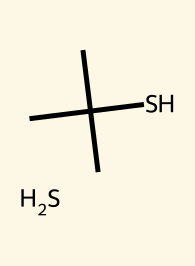 CC(C)(C)S.S